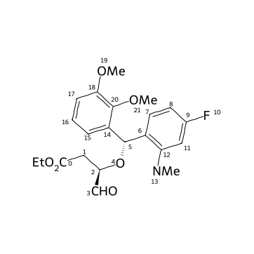 CCOC(=O)C[C@H](C=O)O[C@@H](c1ccc(F)cc1NC)c1cccc(OC)c1OC